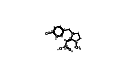 CN1CCN(Cc2ccc(Cl)nc2)C1=C[N+](=O)[O-]